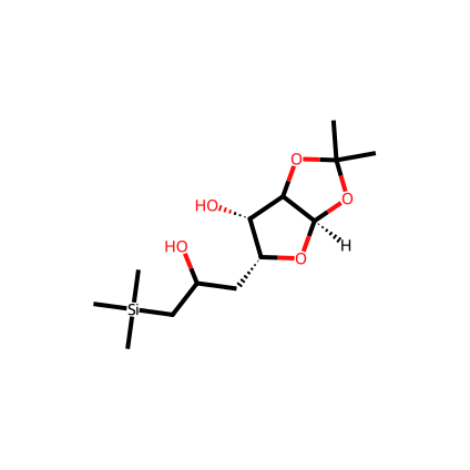 CC1(C)OC2[C@H](O[C@H](CC(O)C[Si](C)(C)C)[C@@H]2O)O1